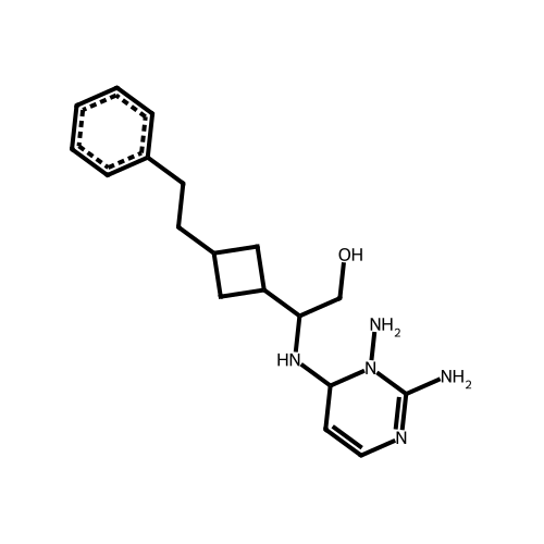 NC1=NC=CC(NC(CO)C2CC(CCc3ccccc3)C2)N1N